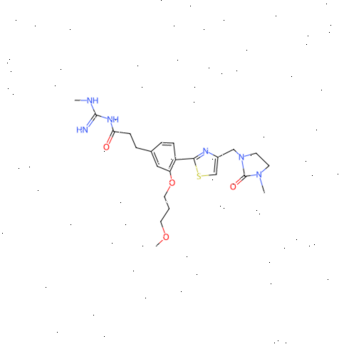 CNC(=N)NC(=O)CCc1ccc(-c2nc(CN3CCN(C)C3=O)cs2)c(OCCCOC)c1